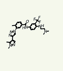 Cc1ccc(C(=O)Nc2ccc(NCCN(C)C)c(C(F)(F)F)c2)cc1-n1cc(-c2cnn(C)c2C)nn1